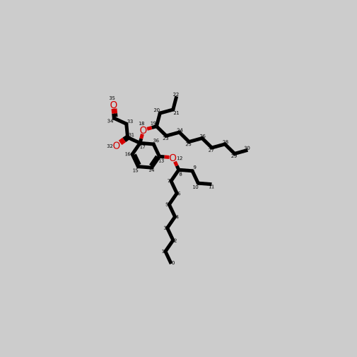 CCCCCCCCC(CCC)OC1=CC=CC(OC(CCC)CCCCCCCC)(C(=O)CC=O)C1